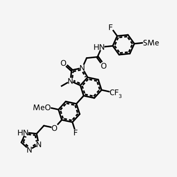 COc1cc(-c2cc(C(F)(F)F)cc3c2n(C)c(=O)n3CC(=O)Nc2ccc(SC)cc2F)cc(F)c1OCc1nnc[nH]1